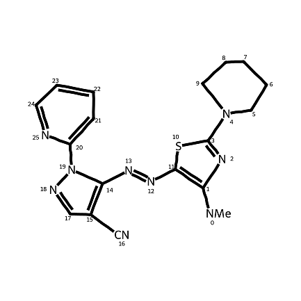 CNc1nc(N2CCCCC2)sc1/N=N/c1c(C#N)cnn1-c1ccccn1